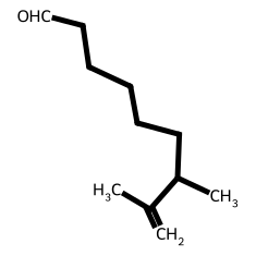 C=C(C)C(C)CCCCCC=O